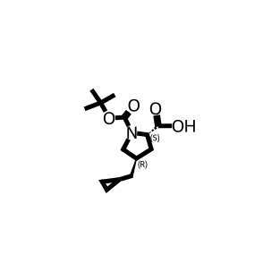 CC(C)(C)OC(=O)N1C[C@H](CC2CC2)C[C@H]1C(=O)O